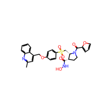 Cc1cc(COc2ccc(S(=O)(=O)C[C@H]3[C@@H](C(=O)NO)CCN3C(=O)c3ccco3)cc2)c2ccccc2n1